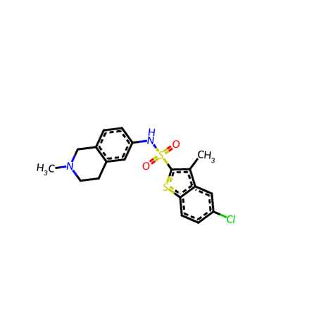 Cc1c(S(=O)(=O)Nc2ccc3c(c2)CCN(C)C3)sc2ccc(Cl)cc12